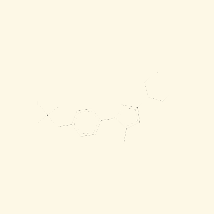 Cc1cc(C(CO)CO)nn1-c1ccc(OC(F)(F)F)cc1